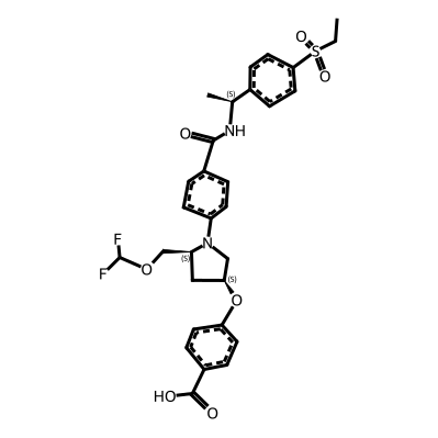 CCS(=O)(=O)c1ccc([C@H](C)NC(=O)c2ccc(N3C[C@@H](Oc4ccc(C(=O)O)cc4)C[C@H]3COC(F)F)cc2)cc1